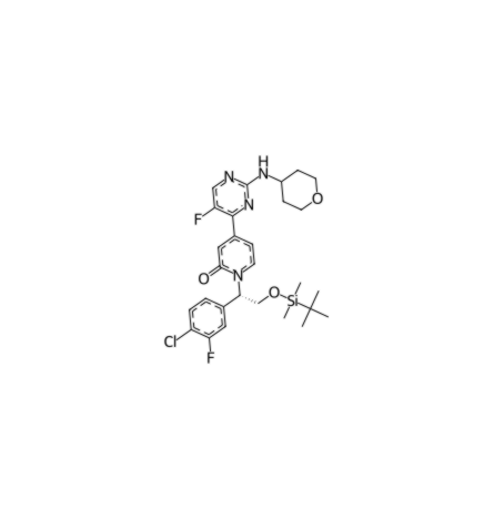 CC(C)(C)[Si](C)(C)OC[C@H](c1ccc(Cl)c(F)c1)n1ccc(-c2nc(NC3CCOCC3)ncc2F)cc1=O